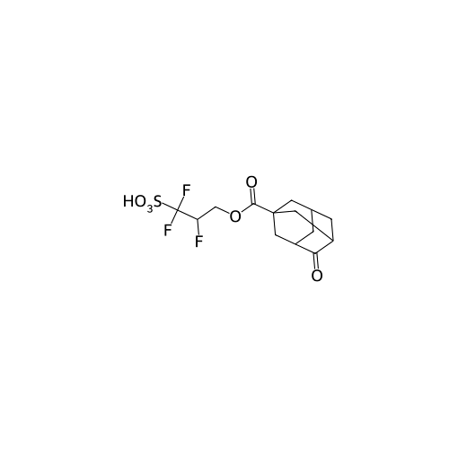 O=C1C2CC3CC1CC(C(=O)OCC(F)C(F)(F)S(=O)(=O)O)(C3)C2